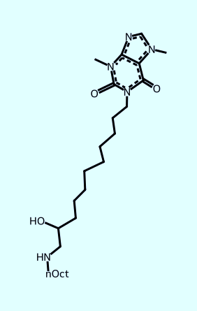 CCCCCCCCNCC(O)CCCCCCCCCn1c(=O)c2c(ncn2C)n(C)c1=O